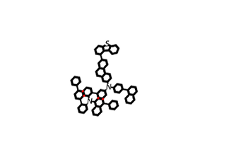 c1ccc(-c2ccc(-c3ccccc3N(c3ccccc3-c3cccc(N(c4ccc(-c5cccc6ccccc56)cc4)c4ccc5c(ccc6cc(-c7cccc8sc9ccccc9c78)ccc65)c4)c3)c3ccc(-c4ccccc4)c4ccccc34)cc2)cc1